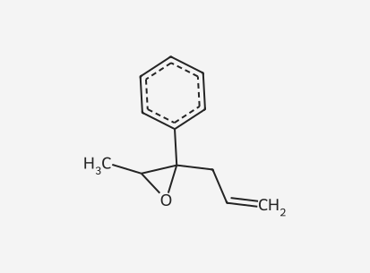 C=CCC1(c2ccccc2)OC1C